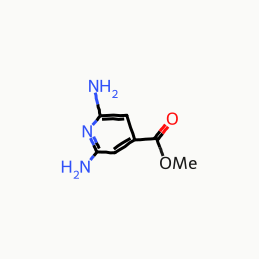 COC(=O)c1cc(N)nc(N)c1